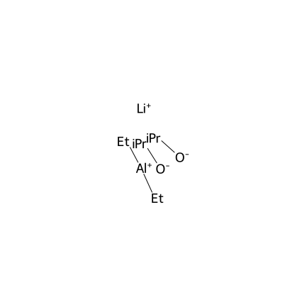 CC(C)[O-].CC(C)[O-].C[CH2][Al+][CH2]C.[Li+]